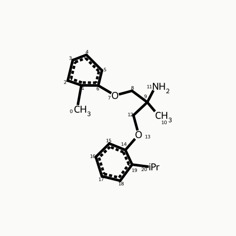 Cc1ccccc1OCC(C)(N)COc1ccccc1C(C)C